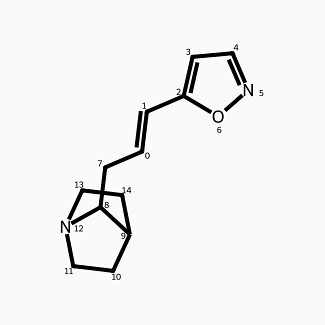 C(=Cc1ccno1)CC1C2CCN1CC2